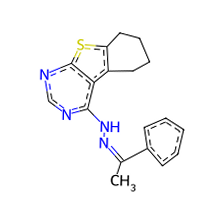 C/C(=N/Nc1ncnc2sc3c(c12)CCCC3)c1ccccc1